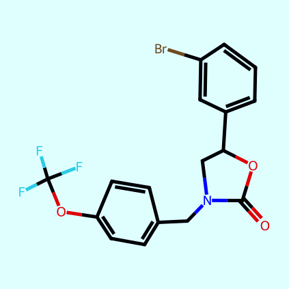 O=C1OC(c2cccc(Br)c2)CN1Cc1ccc(OC(F)(F)F)cc1